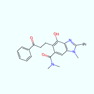 CC(C)c1nc2c(O)c(CCC(=O)c3ccccc3)c(C(=O)N(C)C)cc2n1C